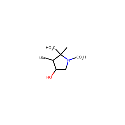 CC(C)(C)C1C(O)CN(C(=O)O)C1(C)C(=O)O